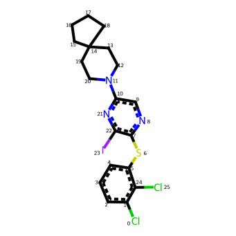 Clc1cccc(Sc2ncc(N3CCC4(CCCC4)CC3)nc2I)c1Cl